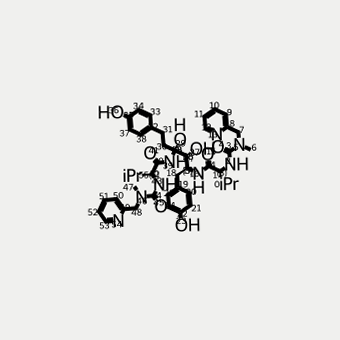 CC(C)[C@H](NC(=O)N(C)Cc1ccccn1)C(=O)N[C@@H](Cc1ccc(O)cc1)[C@@H](O)[C@](O)(CCc1ccc(O)cc1)NC(=O)[C@@H](NC(=O)N(C)Cc1ccccn1)C(C)C